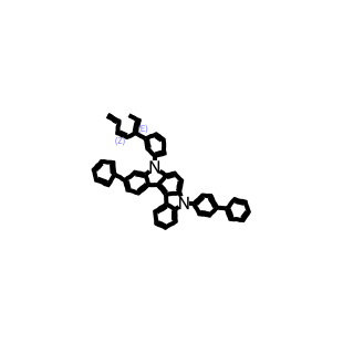 C=C/C=C\C(=C/C)c1cccc(-n2c3cc(-c4ccccc4)ccc3c3c4c5ccccc5n(-c5ccc(-c6ccccc6)cc5)c4ccc32)c1